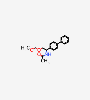 COCOCC(NC(C)=O)c1ccc(-c2ccccc2)cc1